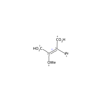 CO/C(C(=O)O)=C(/C(=O)O)C(C)C